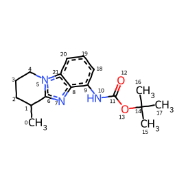 CC1CCCn2c1nc1c(NC(=O)OC(C)(C)C)cccc12